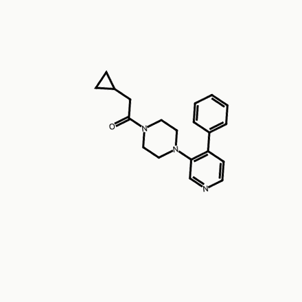 O=C(CC1CC1)N1CCN(c2cnccc2-c2ccccc2)CC1